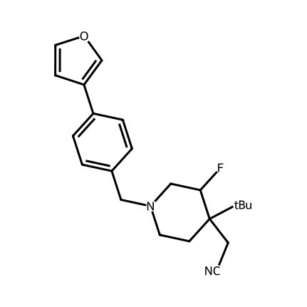 CC(C)(C)C1(CC#N)CCN(Cc2ccc(-c3ccoc3)cc2)CC1F